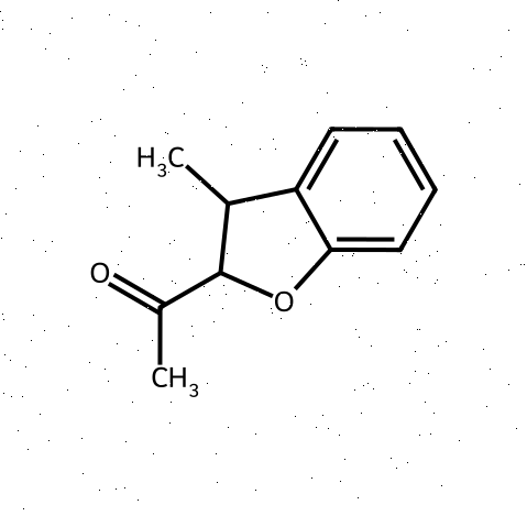 CC(=O)C1Oc2ccccc2C1C